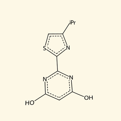 CC(C)c1csc(-c2nc(O)cc(O)n2)n1